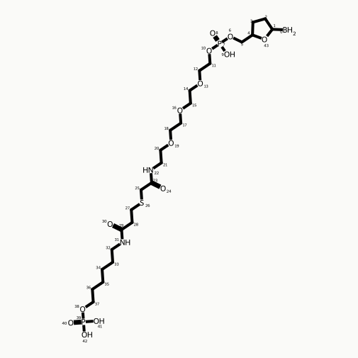 BC1CCC(COP(=O)(O)OCCOCCOCCOCCNC(=O)CSCCC(=O)NCCCCCCOP(=O)(O)O)O1